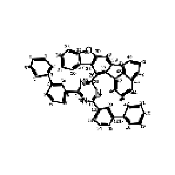 c1ccc(-c2cccc(-c3nc(-c4cccc(-c5ccccc5)c4)nc(-c4c5c(cc6oc7ccccc7c46)-c4cccc6cccc-5c46)n3)c2)cc1